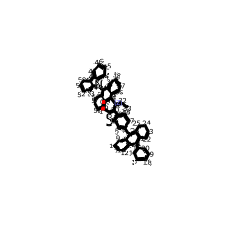 C=Cc1sc2cc(-c3c4ccccc4c(-c4ccccc4)c4ccccc34)ccc2c1/C(=C\C)c1c2ccccc2c(-n2c3ccccc3c3ccccc32)c2ccccc12